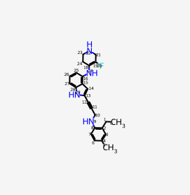 CCc1cc(C)ccc1NCC#Cc1cc2c(NC3=C(F)CNCC3)cccc2[nH]1